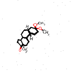 COC1(OC)CC[C@@H]2C3CC[C@]4(C)C(=O)CCC4C3CC[C@@H]2C1